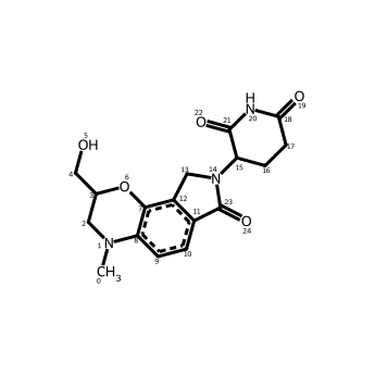 CN1CC(CO)Oc2c1ccc1c2CN(C2CCC(=O)NC2=O)C1=O